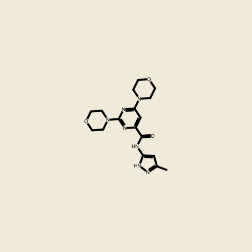 Cc1cc(NC(=O)c2cc(N3CCOCC3)nc(N3CCOCC3)n2)[nH]n1